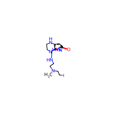 CN(CCI)CCNC1CNC(=O)c2cc3c(nn2)N1CCN3